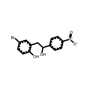 O=[N+]([O-])c1ccc(C(O)Cc2cc(Br)ccc2O)cc1